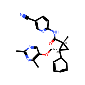 Cc1ncc(OC[C@@]2(C3C=CC=CC3)C[C@@]2(C)C(=O)Nc2ccc(C#N)cn2)c(C)n1